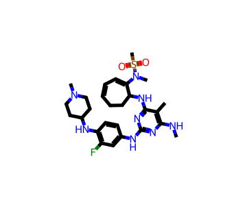 CNc1nc(Nc2ccc(NC3CCN(C)CC3)c(F)c2)nc(NC2CCC=CC=C2N(C)S(C)(=O)=O)c1C